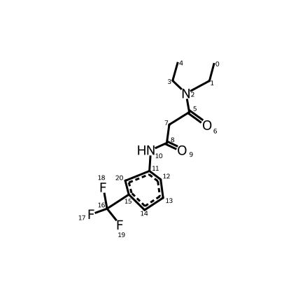 CCN(CC)C(=O)CC(=O)Nc1cccc(C(F)(F)F)c1